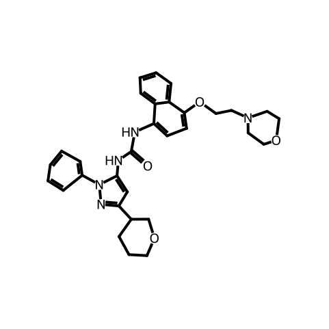 O=C(Nc1ccc(OCCN2CCOCC2)c2ccccc12)Nc1cc(C2CCCOC2)nn1-c1ccccc1